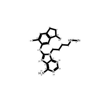 CC(C)NCCCCn1c(Sc2cc3c(cc2I)CCC3F)nc2c(N)ncnc21